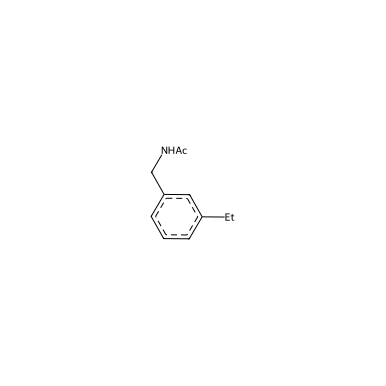 CCc1cccc(CNC(C)=O)c1